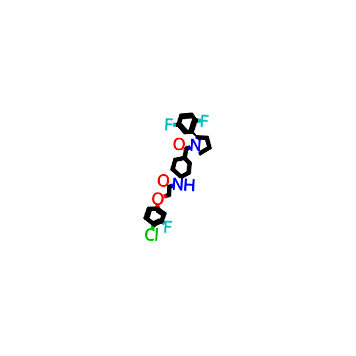 O=C(COc1ccc(Cl)c(F)c1)NC1CCC(C(=O)N2CCC[C@@H]2c2cc(F)ccc2F)CC1